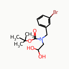 CC(C)(C)OC(=O)N(Cc1cccc(Br)c1)CC(O)O